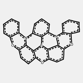 c1ccc2c(c1)oc1ccc3oc4ccc5oc6ccccc6n6c7cccc8c7p(c3c1n28)c4c56